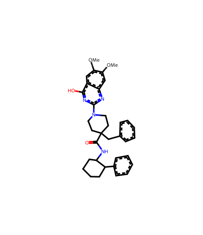 COc1cc2nc(N3CCC(Cc4ccccc4)(C(=O)NC4CCCCC4c4ccccc4)CC3)nc(O)c2cc1OC